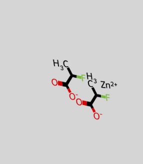 CC(F)C(=O)[O-].CC(F)C(=O)[O-].[Zn+2]